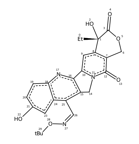 CC[C@@]1(O)C(=O)OCc2c1cc1n(c2=O)Cc2c-1nc1ccc(O)cc1c2/C=N\OC(C)(C)C